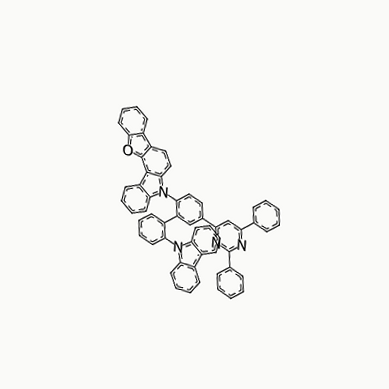 c1ccc(-c2cc(-c3ccc(-n4c5ccccc5c5c6oc7ccccc7c6ccc54)c(-c4ccccc4-n4c5ccccc5c5ccccc54)c3)nc(-c3ccccc3)n2)cc1